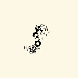 Cc1ncc(-c2ccnc(NC3CCC(NS(=O)(=O)N(C)C)CC3)n2)n1C(C)C